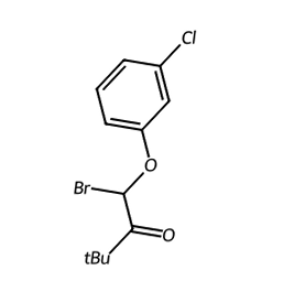 CC(C)(C)C(=O)C(Br)Oc1cccc(Cl)c1